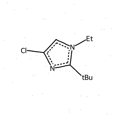 CCn1cc(Cl)nc1C(C)(C)C